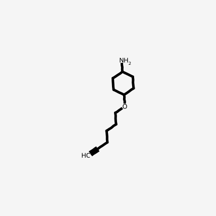 C#CCCCCOC1CCC(N)CC1